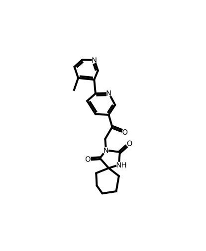 Cc1ccncc1-c1ccc(C(=O)CN2C(=O)NC3(CCCCC3)C2=O)cn1